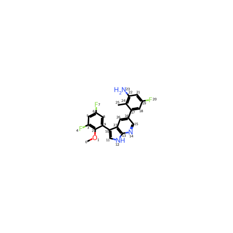 COc1c(F)cc(F)cc1-c1c[nH]c2ncc(-c3cc(F)cc(N)c3C)cc12